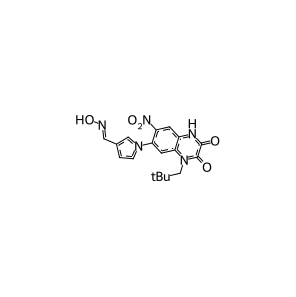 CC(C)(C)Cn1c(=O)c(=O)[nH]c2cc([N+](=O)[O-])c(-n3ccc(C=NO)c3)cc21